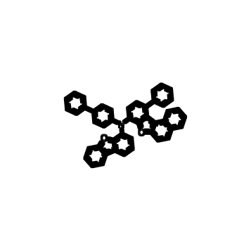 c1ccc(-c2ccc(N(c3cccc4c3oc3ccccc34)c3ccc(-c4ccccc4)c4c3oc3ccc5ccccc5c34)cc2)cc1